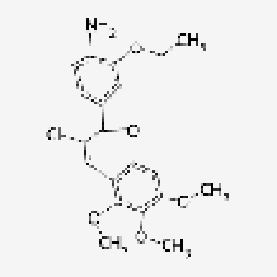 CCOc1cc(C(=O)/C(Cl)=C\c2ccc(OC)c(OC)c2OC)ccc1N